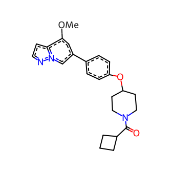 COc1cc(-c2ccc(OC3CCN(C(=O)C4CCC4)CC3)cc2)cn2nccc12